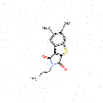 COc1cc2sc3c(c2cc1OC)C(=O)N(CCC(=O)O)C3=O